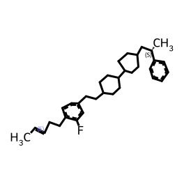 C/C=C/CCc1ccc(CCC2CCC(C3CCC(C[C@H](C)c4ccccc4)CC3)CC2)cc1F